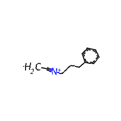 [CH2]C#[N+]CCCc1ccccc1